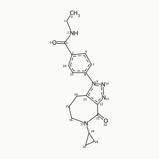 CCNC(=O)c1ccc(-n2nnc3c2CCCN(C2CC2)C3=O)cc1